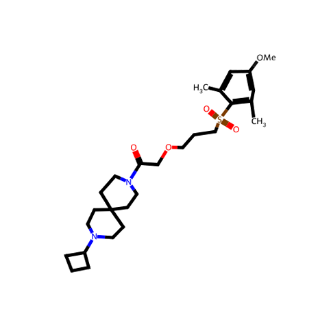 COc1cc(C)c(S(=O)(=O)CCCOCC(=O)N2CCC3(CC2)CCN(C2CCC2)CC3)c(C)c1